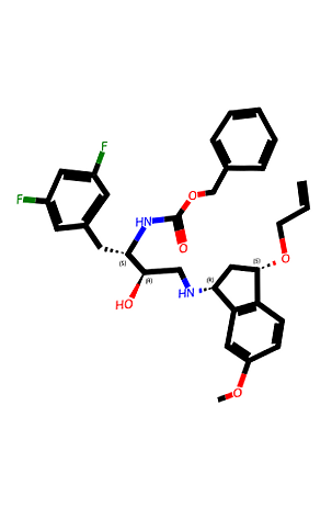 C=CCO[C@H]1C[C@@H](NC[C@@H](O)[C@H](Cc2cc(F)cc(F)c2)NC(=O)OCc2ccccc2)c2cc(OC)ccc21